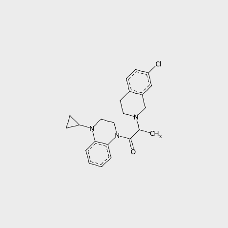 CC(C(=O)N1CCN(C2CC2)c2ccccc21)N1CCc2ccc(Cl)cc2C1